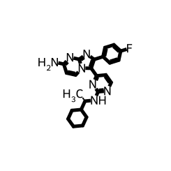 C[C@H](Nc1nccc(-c2c(-c3ccc(F)cc3)nc3nc(N)ccn23)n1)C1CCCCC1